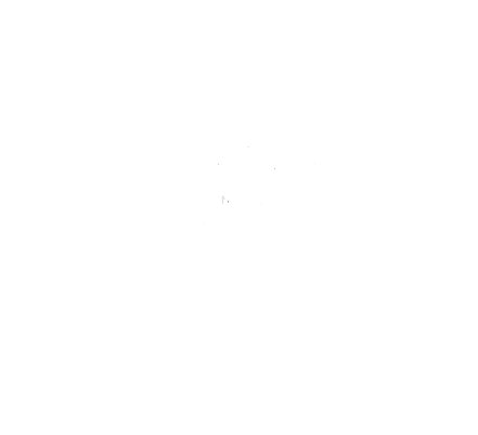 CC1(C)C(=O)C(=O)C(C)(C)N1C(=O)c1ccccc1